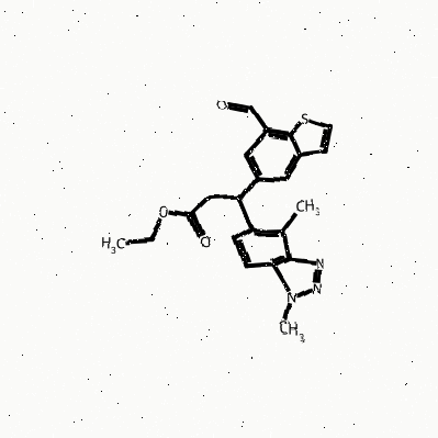 CCOC(=O)CC(c1cc(C=O)c2sccc2c1)c1ccc2c(nnn2C)c1C